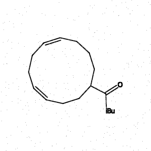 CCC(C)C(=O)C1CCC=CCCC=CCCC1